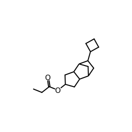 CCC(=O)OC1CC2C3CC(C4CCC4)C(C3)C2C1